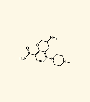 CN1CCN(c2ccc(C(N)=O)c3c2CC(N)CO3)CC1